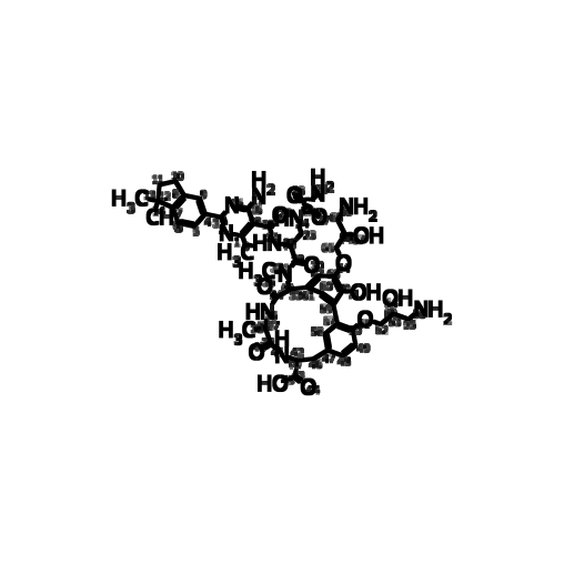 Cc1nc(-c2ccc3c(c2)CCC3(C)C)nc(N)c1C(=O)N[C@@H](CNS(N)(=O)=O)C(=O)N(C)[C@@H]1C(=O)N[C@@H](C)C(=O)N[C@H](C(=O)O)Cc2ccc(OC[C@H](O)CN)c(c2)-c2cc1cc(OC[C@H](O)CN)c2O